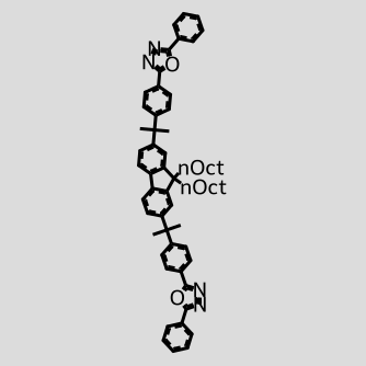 CCCCCCCCC1(CCCCCCCC)c2cc(C(C)(C)c3ccc(-c4nnc(-c5ccccc5)o4)cc3)ccc2-c2ccc(C(C)(C)c3ccc(-c4nnc(-c5ccccc5)o4)cc3)cc21